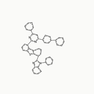 c1ccc(-c2ccc(-c3cc(-c4ccccc4)nc(-c4cccc5sc6c(-c7nc8ccccc8n7-c7ccccc7)cccc6c45)n3)cc2)cc1